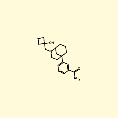 NC(=O)c1cccc(C23CCCC(C2)N(CC2(O)CCC2)CC3)c1